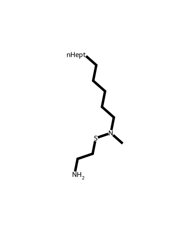 CCCCCCCCCCCCN(C)SCCN